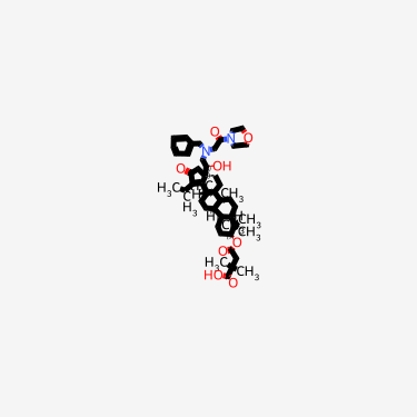 CC(C)C1=C2[C@H]3CC[C@@H]4[C@@]5(C)CC[C@H](OC(=O)CC(C)(C)C(=O)O)C(C)(C)[C@@H]5CC[C@@]4(C)[C@]3(C)CC[C@@]2([C@@H](O)CN(CC(=O)N2CCOCC2)Cc2ccccc2)CC1=O